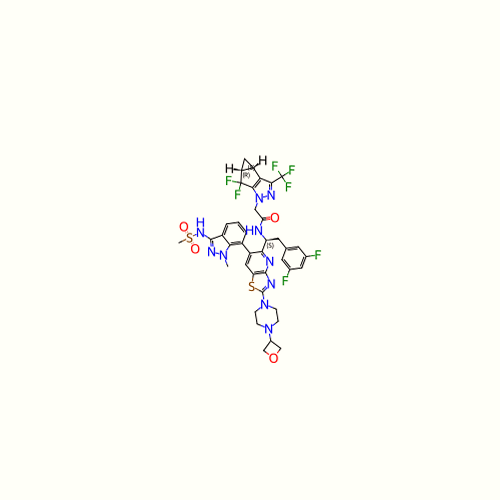 Cn1nc(NS(C)(=O)=O)c2cccc(-c3cc4sc(N5CCN(C6COC6)CC5)nc4nc3[C@H](Cc3cc(F)cc(F)c3)NC(=O)Cn3nc(C(F)(F)F)c4c3C(F)(F)[C@@H]3C[C@H]43)c21